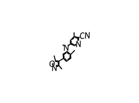 Cc1ccc(-c2c(C)noc2C)cc1N(C)c1cnc(C#N)c(C)c1